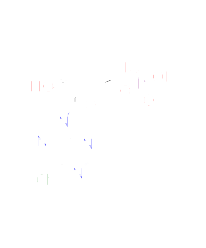 O=P(O)(O)OC[C@@H]1C[C@@H](O)[C@H](n2cnc3c(Cl)ncnc32)O1